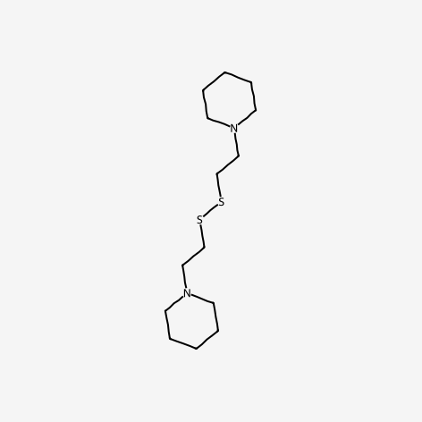 C1CCN(CCSSCCN2CCCCC2)CC1